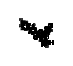 Cc1cc(NC(=O)C(Cc2c[nH]cn2)NC(=O)c2ccc(Cl)s2)ccc1N1CCCN(C)CC1